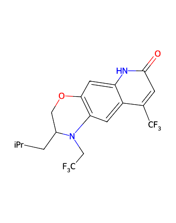 CC(C)CC1COc2cc3[nH]c(=O)cc(C(F)(F)F)c3cc2N1CC(F)(F)F